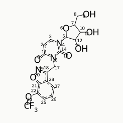 O=c1ccn(C2OC(CO)C(O)C2O)c(=O)n1Cc1noc2c(OC(F)(F)F)cccc12